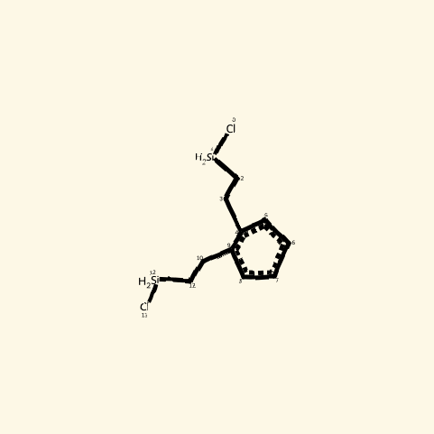 Cl[SiH2]CCc1ccccc1CC[SiH2]Cl